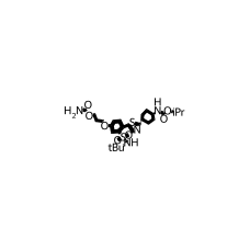 CC(C)OC(=O)N[C@H]1CC[C@H](c2ncc(-c3ccc(OCCCOC(N)=O)cc3S(=O)(=O)NC(C)(C)C)s2)CC1